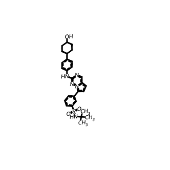 CC(C)(C)NS(=O)(=O)c1cccc(-c2ccc3cnc(Nc4ccc(C5CCC(O)CC5)cc4)nn23)c1